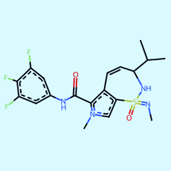 CN=S1(=O)NC(C(C)C)C=Cc2c1cn(C)c2C(=O)Nc1cc(F)c(F)c(F)c1